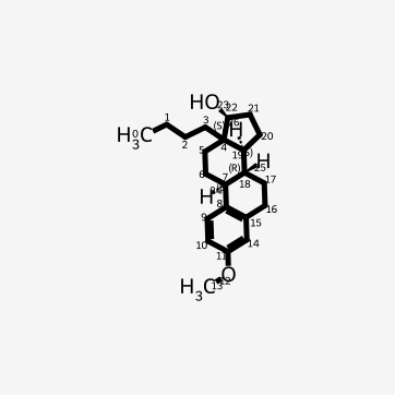 CCCCC12CC[C@@H]3c4ccc(OC)cc4CC[C@H]3[C@@H]1CC[C@@H]2O